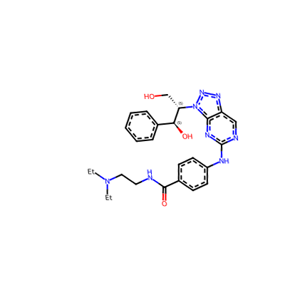 CCN(CC)CCNC(=O)c1ccc(Nc2ncc3nnn([C@@H](CO)[C@@H](O)c4ccccc4)c3n2)cc1